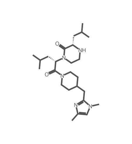 Cc1cn(C)c(CC2CCN(C(=O)[C@H](CC(C)C)N3CCN[C@@H](CC(C)C)C3=O)CC2)n1